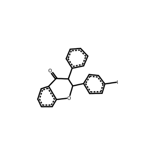 O=C1c2ccccc2OC(c2ccc(I)cc2)C1c1ccccc1